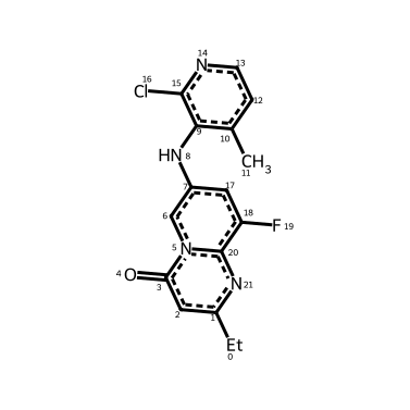 CCc1cc(=O)n2cc(Nc3c(C)ccnc3Cl)cc(F)c2n1